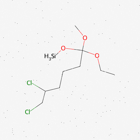 CCOC(CCCC(Cl)CCl)(OC)O[SiH3]